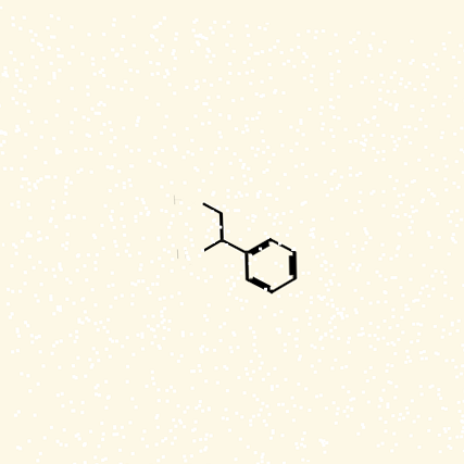 CCC(P)c1ccccc1